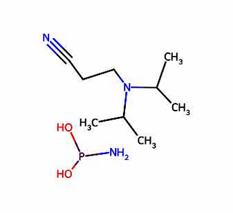 CC(C)N(CCC#N)C(C)C.NP(O)O